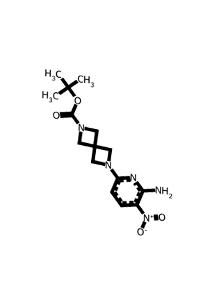 CC(C)(C)OC(=O)N1CC2(C1)CN(c1ccc([N+](=O)[O-])c(N)n1)C2